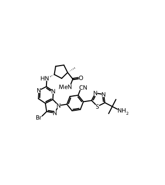 CNC(=O)[C@]1(C)CC[C@@H](Nc2ncc3c(Br)nn(-c4ccc(-c5nnc(C(C)(C)N)s5)c(C#N)c4)c3n2)C1